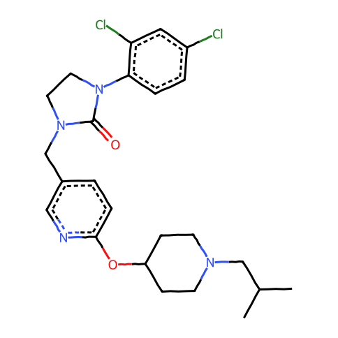 CC(C)CN1CCC(Oc2ccc(CN3CCN(c4ccc(Cl)cc4Cl)C3=O)cn2)CC1